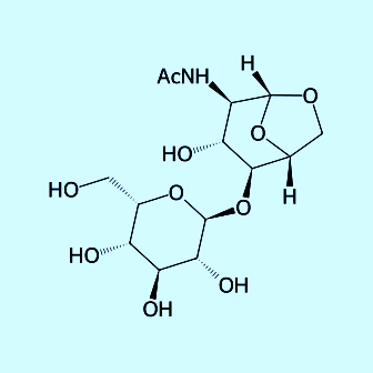 CC(=O)N[C@H]1[C@@H]2OC[C@@H](O2)[C@@H](O[C@@H]2O[C@@H](CO)[C@@H](O)[C@H](O)[C@H]2O)[C@@H]1O